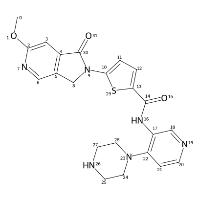 COc1cc2c(cn1)CN(c1ccc(C(=O)Nc3cnccc3N3CCNCC3)s1)C2=O